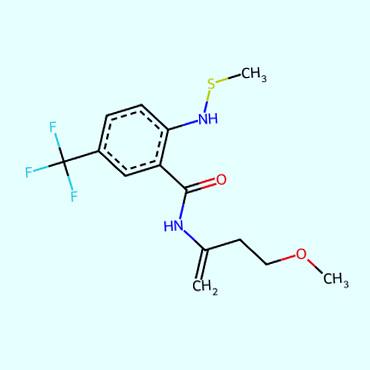 C=C(CCOC)NC(=O)c1cc(C(F)(F)F)ccc1NSC